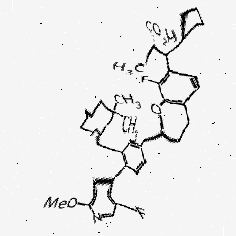 COc1cc(-c2ccc(C3CCc4ccc(C(C5CC5)[C@H](C)C(=O)O)c(F)c4O3)cc2CN2CCCC2(C)C)c(F)cn1